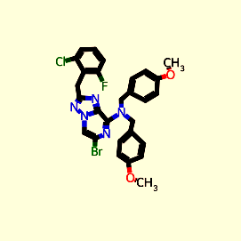 COc1ccc(CN(Cc2ccc(OC)cc2)c2nc(Br)cn3nc(Cc4c(F)cccc4Cl)nc23)cc1